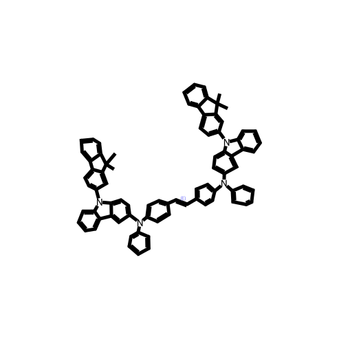 CC1(C)c2ccccc2-c2ccc(-n3c4ccccc4c4cc(N(c5ccccc5)c5ccc(/C=C/c6ccc(N(c7ccccc7)c7ccc8c(c7)c7ccccc7n8-c7ccc8c(c7)C(C)(C)c7ccccc7-8)cc6)cc5)ccc43)cc21